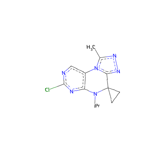 Cc1nnc2n1-c1cnc(Cl)nc1N(C(C)C)C21CC1